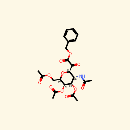 CC(=O)N[C@@H]1[C@@H](OC(C)=O)[C@@H](OC(C)=O)[C@@H](COC(C)=O)O[C@H]1C(=O)C(=O)OCc1ccccc1